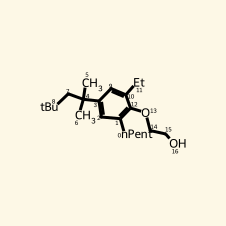 CCCCCc1cc(C(C)(C)CC(C)(C)C)cc(CC)c1OCCO